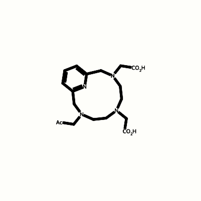 CC(=O)CN1CCN(CC(=O)O)CCN(CC(=O)O)Cc2cccc(n2)C1